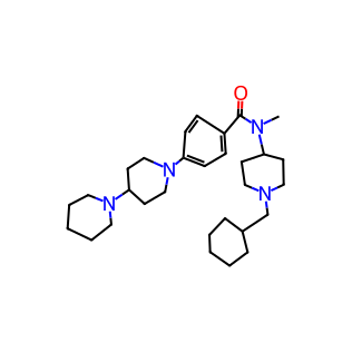 CN(C(=O)c1ccc(N2CCC(N3CCCCC3)CC2)cc1)C1CCN(CC2CCCCC2)CC1